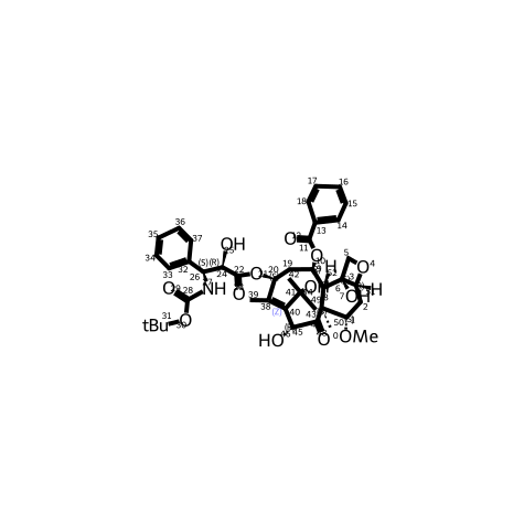 CO[C@H]1C[C@H]2OC[C@@]2(O)[C@H]2[C@H](OC(=O)c3ccccc3)C[C@H](OC(=O)[C@H](O)[C@@H](NC(=O)OC(C)(C)C)c3ccccc3)/C(C)=C(\C(C)(C)O)[C@@H](O)C(=O)[C@]12C